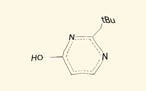 CC(C)(C)c1nccc(O)n1